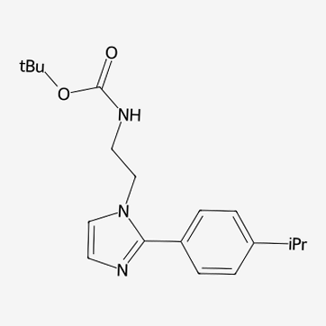 CC(C)c1ccc(-c2nccn2CCNC(=O)OC(C)(C)C)cc1